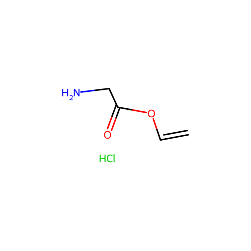 C=COC(=O)CN.Cl